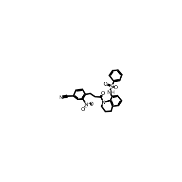 N#Cc1ccc(CCC(=O)N2CCCc3cccc(NS(=O)(=O)c4ccccc4)c32)c([N+](=O)[O-])c1